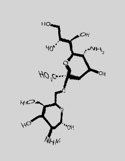 CC(=O)NC1C(O)[C@@H](O)C(CO[C@]2(C(=O)O)CC(O)[C@@H](N)C([C@H](O)[C@H](O)CO)O2)O[C@@H]1O